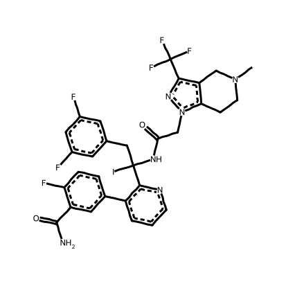 CN1CCc2c(c(C(F)(F)F)nn2CC(=O)NC(I)(Cc2cc(F)cc(F)c2)c2ncccc2-c2ccc(F)c(C(N)=O)c2)C1